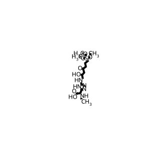 CCNC(C(=O)O)c1nnc(NCC(O)CC(=O)CCC[Si](OC)(OC)OC)[nH]1